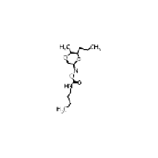 CCCCNC(=O)ON=C1COC(C)C(CCC)O1